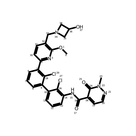 COc1nc(-c2cccc(-c3cccc(NC(=O)c4ccnn(C)c4=O)c3Cl)c2Cl)ccc1CN1CC(O)C1